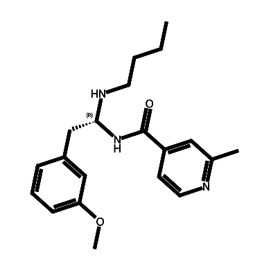 CCCCN[C@@H](Cc1cccc(OC)c1)NC(=O)c1ccnc(C)c1